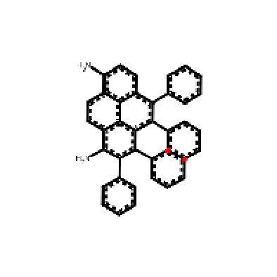 Nc1ccc2c(-c3ccccc3)c(-c3ccccc3)c3c(-c4ccccc4)c(-c4ccccc4)c(N)c4ccc1c2c43